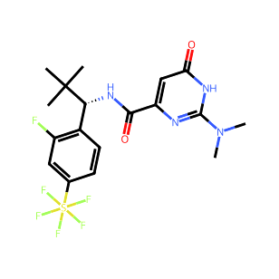 CN(C)c1nc(C(=O)N[C@H](c2ccc(S(F)(F)(F)(F)F)cc2F)C(C)(C)C)cc(=O)[nH]1